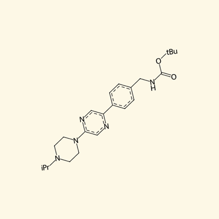 CC(C)N1CCN(c2cnc(-c3ccc(CNC(=O)OC(C)(C)C)cc3)cn2)CC1